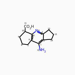 Nc1c2c(nc3c1CCCC3C(=O)O)CCC2